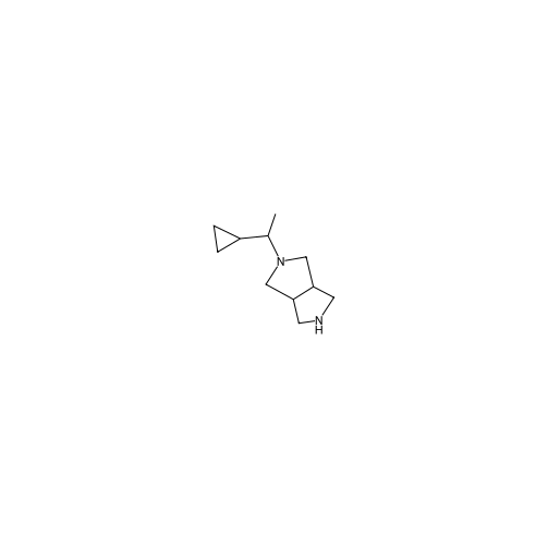 CC(C1CC1)N1CC2CNCC2C1